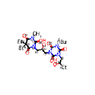 CCCCn1c(=O)n(CC(O)CC)c(=O)n(CC(O)CN2C(=O)N(C)C(=O)C(CC)(CC)C2=O)c1=O